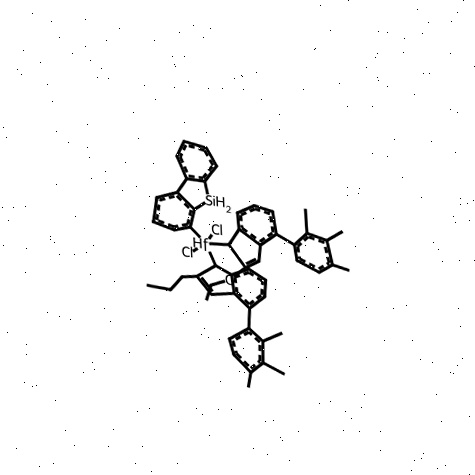 CCCC1=Cc2c(-c3ccc(C)c(C)c3C)cccc2[CH]1[Hf]([Cl])([Cl])([c]1cccc2c1[SiH2]c1ccccc1-2)[CH]1C(CCC)=Cc2c(-c3ccc(C)c(C)c3C)cccc21